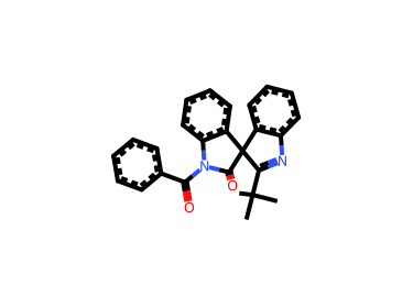 CC(C)(C)C1=Nc2ccccc2C12C(=O)N(C(=O)c1ccccc1)c1ccccc12